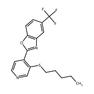 CCCCCSc1cnccc1-c1nc2cc(C(F)(F)F)ccc2o1